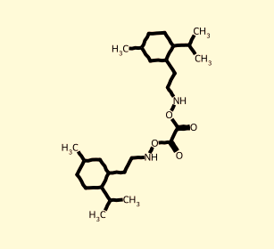 CC1CCC(C(C)C)C(CCNOC(=O)C(=O)ONCCC2CC(C)CCC2C(C)C)C1